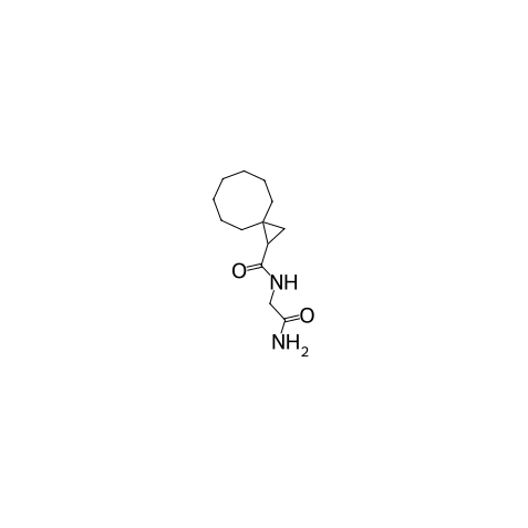 NC(=O)CNC(=O)C1CC12CCCCCCC2